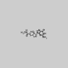 CNC(=O)OC[C@@H]1CO[C@@H](n2cnc3c(=O)[nH]c(N)nc32)[C@@H]1O